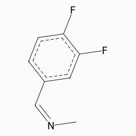 C/N=C\c1ccc(F)c(F)c1